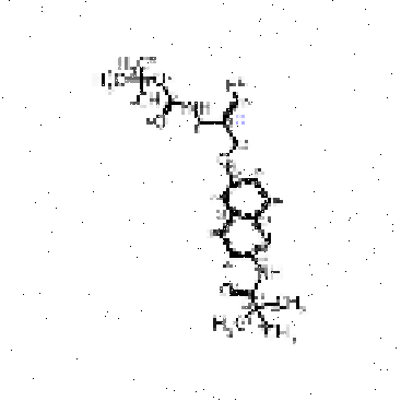 CC(C)(C)OC(=O)NC/C(=C\F)COc1ccc2nc(NC(=O)C(C)(C)C)ccc2c1